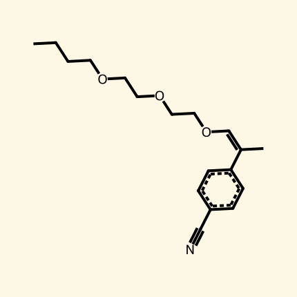 CCCCOCCOCCO/C=C(/C)c1ccc(C#N)cc1